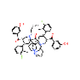 COCCN1C[C@H](C(=O)c2cccc(O)c2)[C@H](c2cccc(F)c2C)C[C@]1(C(=O)[C@]1(C2CCCNC2)C[C@@H](c2cccc(F)c2C)[C@@H](C(=O)c2cccc(O)c2)CN1CCOC)C1CCCNC1